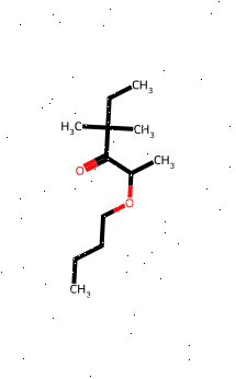 CCCCOC(C)C(=O)C(C)(C)CC